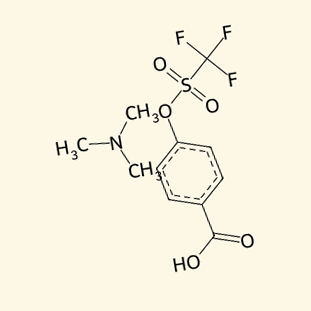 CN(C)C.O=C(O)c1ccc(OS(=O)(=O)C(F)(F)F)cc1